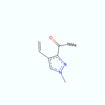 C=Cc1cn(C)nc1C(=O)NC